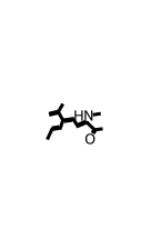 C=C(C)C(/C=C/C)=C/C=C(\NC)C(C)=O